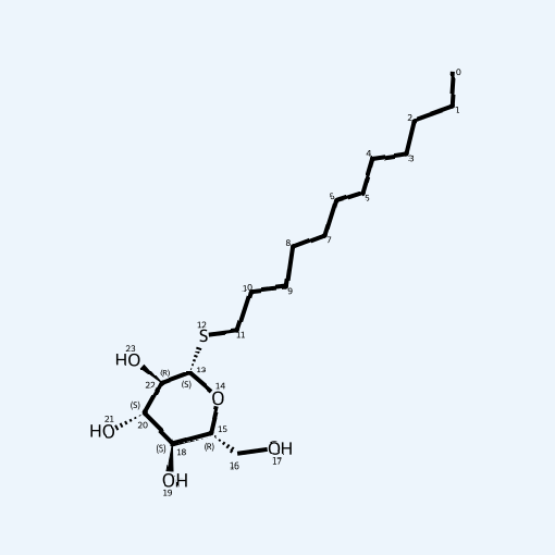 CCCCCCCCCCCCS[C@@H]1O[C@H](CO)[C@@H](O)[C@H](O)[C@H]1O